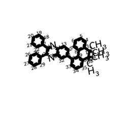 CC1(C)c2ccccc2-c2c(-c3ccc4nc(-c5ccccc5)c(-c5ccccc5)nc4c3)cccc2C1(C)C